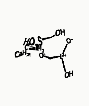 O=S(=O)(O)O.[CaH2].[CaH2].[O-][I+2]([O-])O